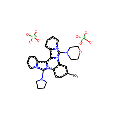 O=[N+]([O-])c1ccc2c(c1)n1c(N3CCOCC3)[n+]3ccccc3c1c1c3ccccn3c(N3CCCC3)[n+]21.[O-][Cl+3]([O-])([O-])[O-].[O-][Cl+3]([O-])([O-])[O-]